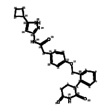 O=C1CCN(c2ccccc2COc2ccc(CC(=O)Nc3cc(C4CCC4)[nH]n3)cc2)C(=O)N1